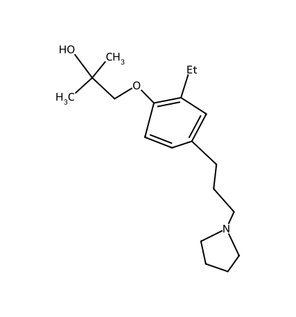 CCc1cc(CCCN2CCCC2)ccc1OCC(C)(C)O